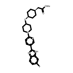 COC(=O)C[C@H]1CC[C@@H](OC2CCN(c3ccc(-c4nc5ccc(F)cc5[nH]4)cn3)CC2)CC1